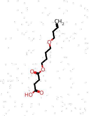 C=CCCOCCCCOC(=O)CCC(=O)O